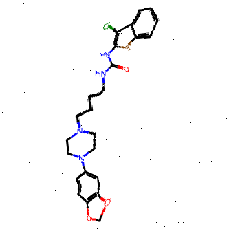 O=C(NCCCCN1CCN(c2ccc3c(c2)OCO3)CC1)Nc1sc2ccccc2c1Cl